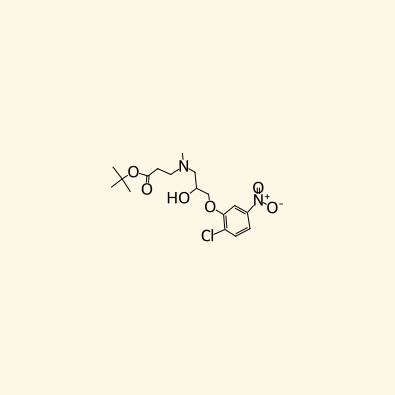 CN(CCC(=O)OC(C)(C)C)CC(O)COc1cc([N+](=O)[O-])ccc1Cl